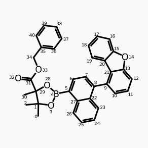 CC1(C)OB(c2ccc(-c3cccc4oc5ccccc5c34)c3ccccc23)OC1(C)C(=O)OCc1ccccc1